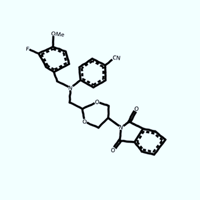 COc1ccc(CN(CC2OCC(N3C(=O)c4ccccc4C3=O)CO2)c2ccc(C#N)cc2)cc1F